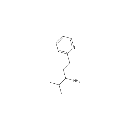 CC(C)C(N)CCc1ccccn1